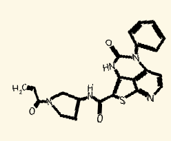 C=CC(=O)N1CCC(NC(=O)c2sc3nccc4c3c2NC(=O)N4c2ccccc2)C1